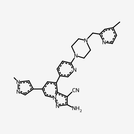 Cc1ccnc(CN2CCN(c3ccc(-c4cc(-c5cnn(C)c5)cn5nc(N)c(C#N)c45)cn3)CC2)c1